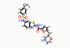 Cc1ccc(S(=O)(=O)Nc2ccc3nc(NC(=O)c4ccc(CC5CNCCO5)o4)sc3c2)cc1